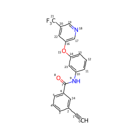 C#Cc1cccc(C(=O)Nc2cccc(Oc3cncc(C(F)(F)F)c3)c2)c1